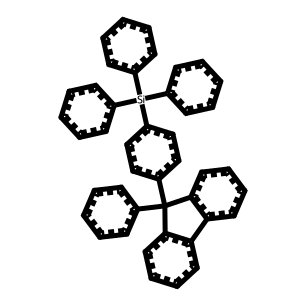 c1ccc(C2(c3ccc([Si](c4ccccc4)(c4ccccc4)c4ccccc4)cc3)c3ccccc3-c3ccccc32)cc1